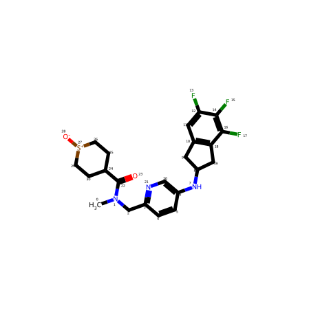 CN(Cc1ccc(NC2Cc3cc(F)c(F)c(F)c3C2)cn1)C(=O)C1CC[S+]([O-])CC1